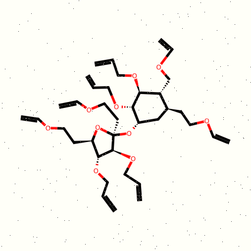 C=CCO[C@@H]1[C@@H](OCC=C)[C@H](COC=C)[C@@H](CCOC=C)C[C@@H]1O[C@]1(CCOC=C)O[C@H](CCOC=C)[C@@H](OCC=C)[C@@H]1OCC=C